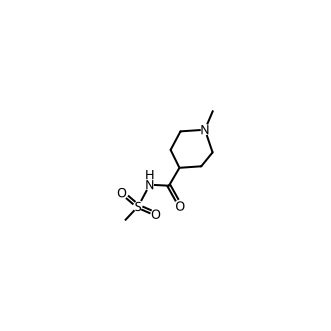 CN1CCC(C(=O)NS(C)(=O)=O)CC1